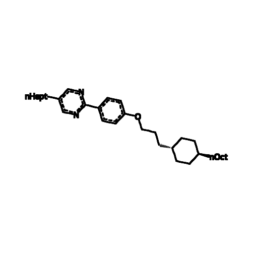 CCCCCCCC[C@H]1CC[C@H](CCCOc2ccc(-c3ncc(CCCCCCC)cn3)cc2)CC1